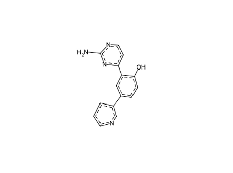 Nc1nccc(-c2cc(-c3cccnc3)ccc2O)n1